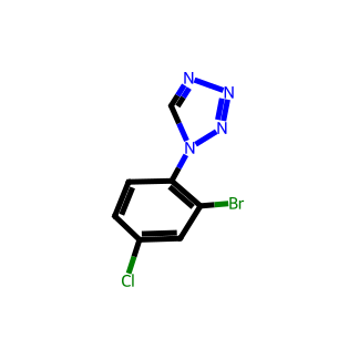 Clc1ccc(-n2cnnn2)c(Br)c1